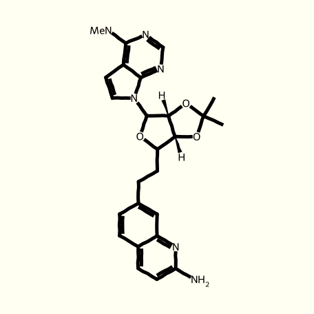 CNc1ncnc2c1ccn2C1OC(CCc2ccc3ccc(N)nc3c2)[C@H]2OC(C)(C)O[C@@H]12